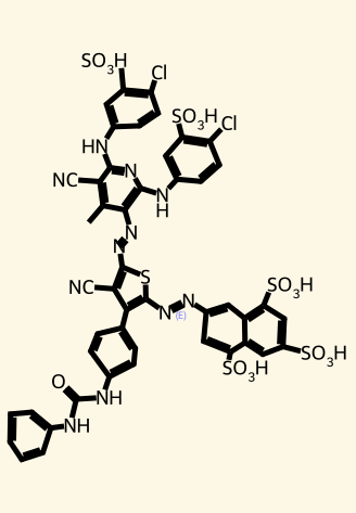 Cc1c(C#N)c(Nc2ccc(Cl)c(S(=O)(=O)O)c2)nc(Nc2ccc(Cl)c(S(=O)(=O)O)c2)c1N=Nc1sc(/N=N/c2cc(S(=O)(=O)O)c3cc(S(=O)(=O)O)cc(S(=O)(=O)O)c3c2)c(-c2ccc(NC(=O)Nc3ccccc3)cc2)c1C#N